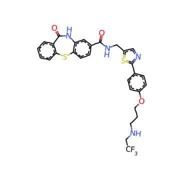 O=C(NCc1cnc(-c2ccc(OCCCNCC(F)(F)F)cc2)s1)c1ccc2c(c1)NC(=O)c1ccccc1S2